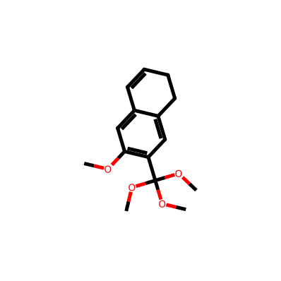 COc1cc2c(cc1C(OC)(OC)OC)CCC=C2